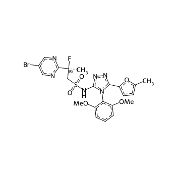 COc1cccc(OC)c1-n1c(NS(=O)(=O)C[C@](C)(F)c2ncc(Br)cn2)nnc1-c1ccc(C)o1